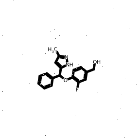 Cc1cc(C(Oc2ccc(CO)cc2F)c2ccccc2)[nH]n1